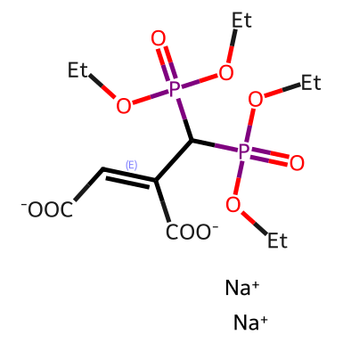 CCOP(=O)(OCC)C(/C(=C/C(=O)[O-])C(=O)[O-])P(=O)(OCC)OCC.[Na+].[Na+]